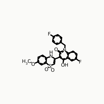 COc1ccc2c(c1)S(=O)(=O)C=C(c1c(O)c3cc(F)ccc3n(Cc3ccc(F)cc3)c1=O)N2